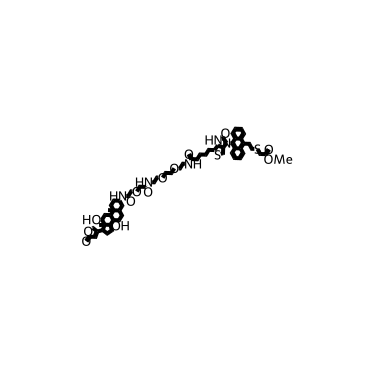 COC(=O)CSCCc1c2ccccc2c(N2C(=O)NC3C(CCCCC(=O)NCCOCCOCCNC(=O)COCC(=O)NC4CCC5(C)C(CCC6C5CC(O)C5(C)C(C7=CC(=O)OC7)CCC65O)C4)SCC32)c2ccccc12